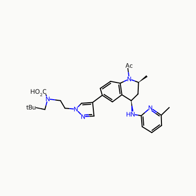 CC(=O)N1c2ccc(-c3cnn(CCN(CC(C)(C)C)C(=O)O)c3)cc2[C@H](Nc2cccc(C)n2)C[C@@H]1C